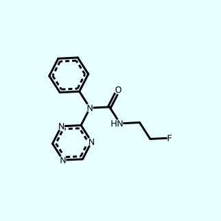 O=C(NCCF)N(c1ccccc1)c1ncncn1